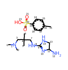 CN(C)CC(C)(C)CNC1=NC(N)CN1.Cc1ccc(S(=O)(=O)O)cc1